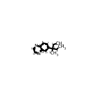 CCC(C)(CC)c1ccc2nccnc2c1